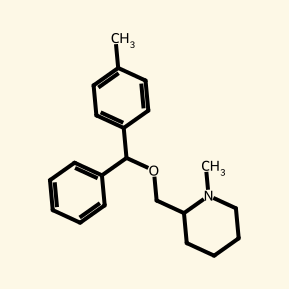 Cc1ccc(C(OCC2CCCCN2C)c2ccccc2)cc1